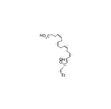 CC/C=C\C[C@@H](/C=C/C=C\C/C=C\C/C=C\C/C=C\CCC(=O)O)OO